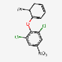 CC(C)C1CC=CC=C1Oc1c(Cl)cc([N+](=O)[O-])cc1Cl